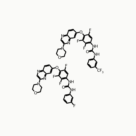 O=C(Nc1cccc(C(F)(F)F)c1)Nc1cc(F)c(Oc2ccc3ncc(N4CCOCC4)nc3c2)c(F)c1F.O=C(Nc1cccc(F)c1)Nc1cc(F)c(Oc2ccc3ncc(N4CCOCC4)nc3c2)c(F)c1F